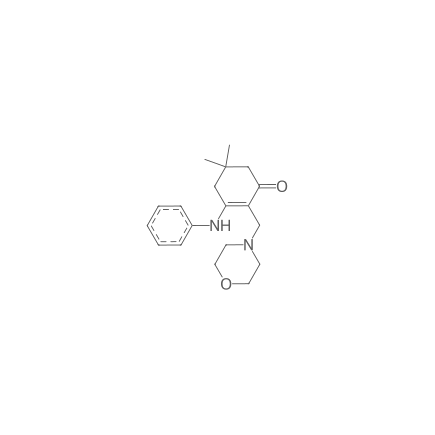 CC1(C)CC(=O)C(CN2CCOCC2)=C(Nc2ccccc2)C1